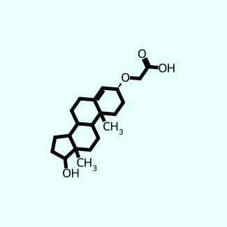 CC12CC[C@@H](OCC(=O)O)C=C1CCC1C2CCC2(C)C(O)CCC12